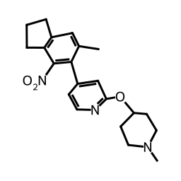 Cc1cc2c(c([N+](=O)[O-])c1-c1ccnc(OC3CCN(C)CC3)c1)CCC2